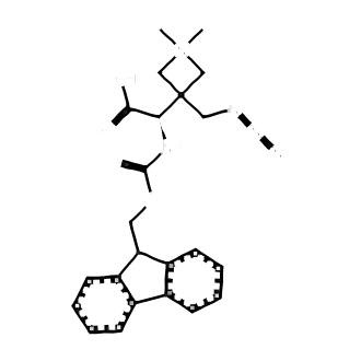 C[N+]1(C)CC(CN=[N+]=[N-])([C@@H](NC(=O)OCC2c3ccccc3-c3ccccc32)C(=O)O)C1